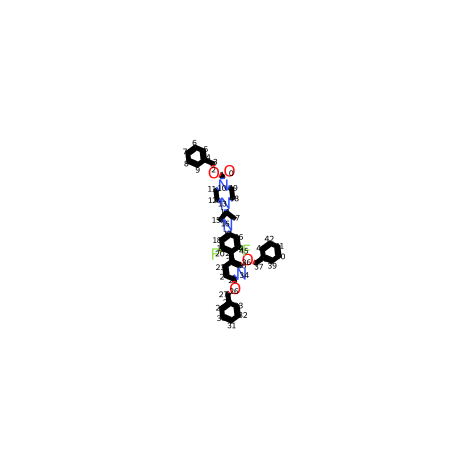 O=C(OCc1ccccc1)N1CCN(C2CN(c3cc(F)c(-c4ccc(OCc5ccccc5)nc4OCc4ccccc4)c(F)c3)C2)CC1